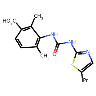 Cc1ccc(C(=O)O)c(C)c1NC(=O)Nc1ncc(C(C)C)s1